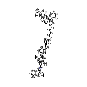 O=C1CCC(n2c(=O)n(CCCCCCCc3cn(Cc4cccc(N5C[C@H]6C[C@@H]5CN6/C=C/C(=O)c5ccccc5O)n4)nn3)c3ccccc32)C(=O)N1